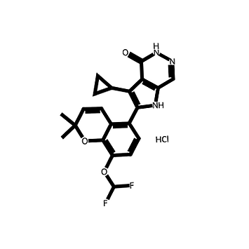 CC1(C)C=Cc2c(-c3[nH]c4cn[nH]c(=O)c4c3C3CC3)ccc(OC(F)F)c2O1.Cl